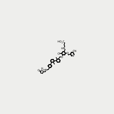 Cc1c(COc2cc(OCc3cncc(C#N)c3)c(CNCCCC(=O)O)cc2Cl)cccc1-c1cccc(-c2ccc(CNCC3CCC(=O)N3)cc2)c1C